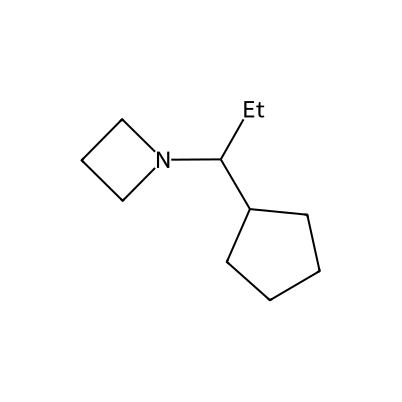 CCC(C1CCCC1)N1CCC1